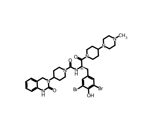 CN1CCN(C2CCN(C(=O)[C@@H](Cc3cc(Br)c(O)c(Br)c3)NC(=O)N3CCC(N4Cc5ccccc5NC4=O)CC3)CC2)CC1